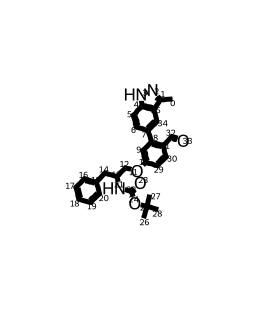 Cc1n[nH]c2ccc(-c3cc(OCC(Cc4ccccc4)NC(=O)OC(C)(C)C)ccc3C=O)cc12